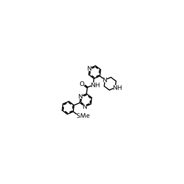 CSc1ccccc1-c1nccc(C(=O)Nc2cnccc2N2CCNCC2)n1